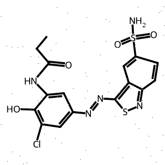 CCC(=O)Nc1cc(/N=N/c2snc3ccc(S(N)(=O)=O)cc23)cc(Cl)c1O